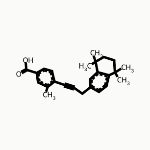 Cc1cc(C(=O)O)ccc1C#CCc1ccc2c(c1)C(C)(C)CCC2(C)C